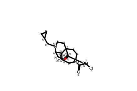 O=C(CCl)N1CCC23CCN(CC4CC4)C(Cc4ccc(O)cc42)C3(O)CC1